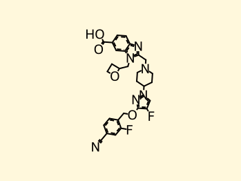 N#Cc1ccc(COc2nn(C3CCN(Cc4nc5ccc(C(=O)O)cc5n4CC4CCO4)CC3)cc2F)c(F)c1